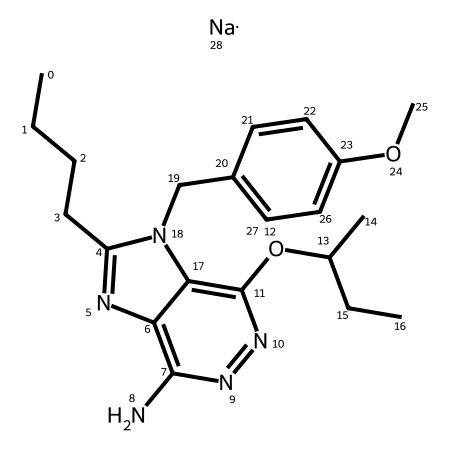 CCCCc1nc2c(N)nnc(OC(C)CC)c2n1Cc1ccc(OC)cc1.[Na]